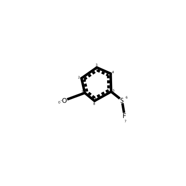 [O]c1cccc(SF)c1